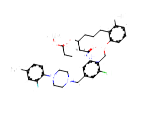 CC(CCCc1c(C=O)cccc1OCc1ccc(CN2CCN(c3ccc(C#N)cc3F)CC2)cc1Cl)[C@@H](CCC(=O)OC(C)(C)C)C(N)=O